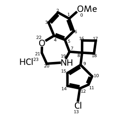 COc1ccc2c(c1)C(C1(c3ccc(Cl)cc3)CCC1)NCCO2.Cl